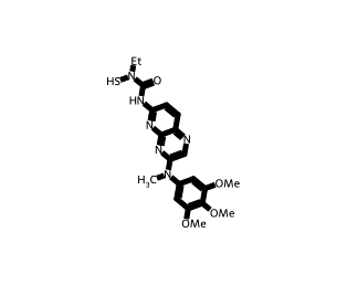 CCN(S)C(=O)Nc1ccc2ncc(N(C)c3cc(OC)c(OC)c(OC)c3)nc2n1